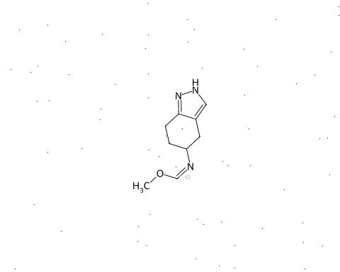 CO/C=N\C1CCc2n[nH]cc2C1